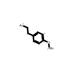 CCCCOc1ccc(CCC(C)=O)cc1